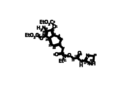 CCOC(=O)Oc1c2ccc(CC(=O)N(CC)OCC(=O)NC3=NCCN3)ccc-2c(OC(=O)OCC)c1N